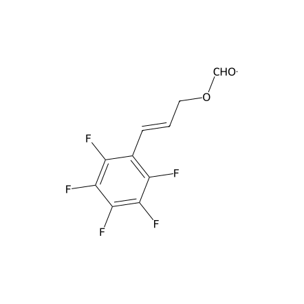 O=[C]OCC=Cc1c(F)c(F)c(F)c(F)c1F